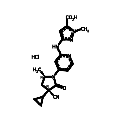 C[C@@H]1C[C@@](C#N)(C2CC2)C(=O)N1c1ccnc(Nc2cc(C(=O)O)n(C)n2)c1.Cl